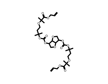 C=CCOC(=O)C(C)(C)OCCC(C)(C)OC(=O)OC1COC2C(OC(=O)OC(C)(C)CCOC(C)(C)C(=O)OCC=C)COC12